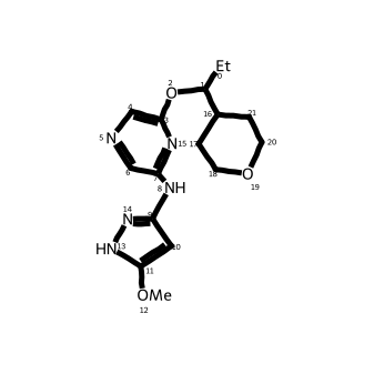 CCC(Oc1cncc(Nc2cc(OC)[nH]n2)n1)C1CCOCC1